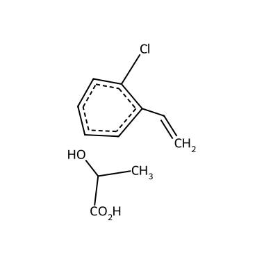 C=Cc1ccccc1Cl.CC(O)C(=O)O